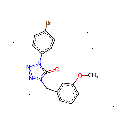 COc1cccc(Cn2nnn(-c3ccc(Br)cc3)c2=O)c1